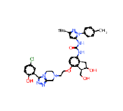 Cc1ccc(-n2nc(C(C)(C)C)cc2NC(=O)Nc2ccc(OCCN3CCn4c(nnc4-c4cc(Cl)ccc4O)C3)c3c2CC(O)C3CO)cc1